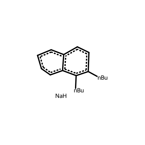 CCCCc1ccc2ccccc2c1CCCC.[NaH]